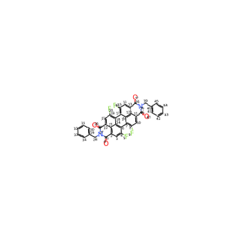 O=C1c2cc(F)c3c4c(F)cc5c6c(cc(F)c(c7c(F)cc(c2c37)C(=O)N1Cc1ccccc1)c64)C(=O)N(Cc1ccccc1)C5=O